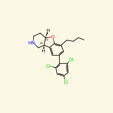 CCCCc1cc(-c2c(Cl)cc(Cl)cc2Cl)cc2c1O[C@H]1CCNC[C@@H]21